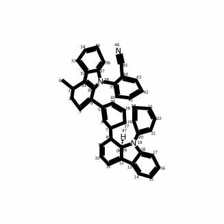 CC1CC=C(C2=CC(C3C=CC=C4c5ccccc5N(c5ccccc5)[C@@H]43)CC=C2)c2c1c1ccccc1n2-c1ccccc1C#N